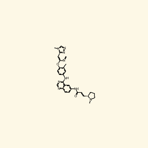 C=N/C(=C\c1nncn1C)Oc1ccc(Nc2ncnc3ccc(NC(=O)/C=C/[C@H]4CCCN4C)cc23)cc1C